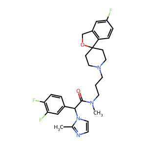 Cc1nccn1C(C(=O)N(C)CCCN1CCC2(CC1)OCc1cc(F)ccc12)c1ccc(F)c(F)c1